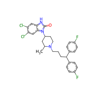 CC1CC(n2c(=O)[nH]c3cc(Cl)c(Cl)cc32)CCN1CCCC(c1ccc(F)cc1)c1ccc(F)cc1